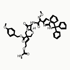 CNC(=O)OCC=CC1(C(=O)OCc2ccc(OC)cc2)CS[C@@H]2C(NC(=O)C(=NOC)c3csc(NC(c4ccccc4)(c4ccccc4)c4ccccc4)n3)C(=O)N2C1